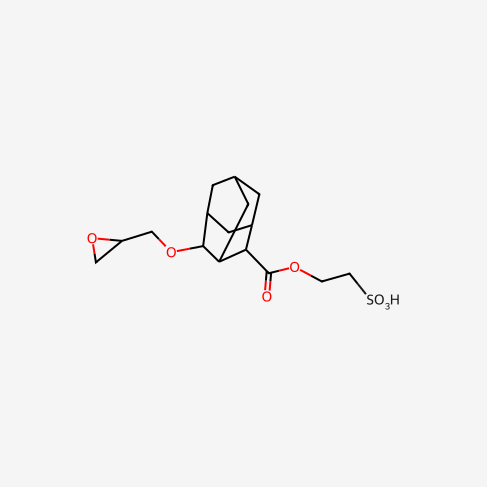 O=C(OCCS(=O)(=O)O)C1C2CC3CC(C2)C(OCC2CO2)C1C3